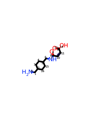 NCC1CCC(CNC(=O)/C=C\C(=O)O)CC1